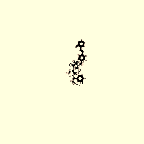 Cc1ccccc1C=Cc1ccc(CN2C(=O)N([C@@H](CC(C)C)C(=O)N[C@H](CC(=O)O)c3ccccc3)C(=O)C2(C)C)cc1